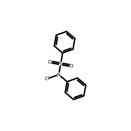 O=S(=O)(c1ccccc1)N(Cl)c1ccccc1